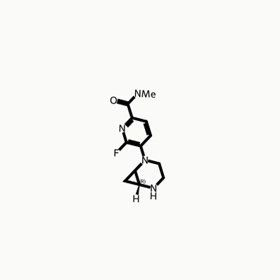 CNC(=O)c1ccc(N2CCN[C@@H]3CC32)c(F)n1